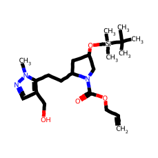 C=CCOC(=O)N1CC(O[Si](C)(C)C(C)(C)C)CC1CCc1c(CO)cnn1C